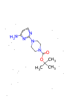 CC(C)(C)OC(=O)N1CCN(c2nccc(N)n2)CC1